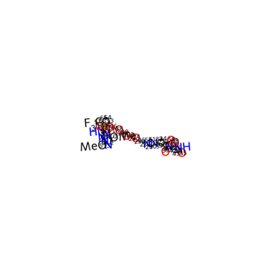 COc1cnc(OC)n2nc(NS(=O)(=O)c3c(OCCOCCOCCOCCCN4CCN(c5ccc6c(c5)C(=O)N(C5CCC(=O)NC5=O)C6=O)CC4)cccc3C(F)(F)F)nc12